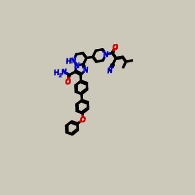 CC(C)/C=C(\C#N)C(=O)N1CCC(C2CCNn3c2nc(-c2ccc(-c4ccc(Oc5ccccc5)cc4)cc2)c3C(N)=O)CC1